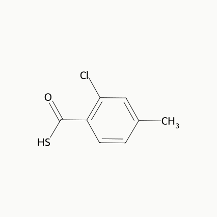 Cc1ccc(C(=O)S)c(Cl)c1